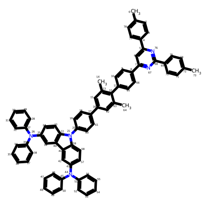 Cc1ccc(-c2cc(-c3ccc(-c4c(C)cc(-c5ccc(-n6c7ccc(N(c8ccccc8)c8ccccc8)cc7c7cc(N(c8ccccc8)c8ccccc8)ccc76)cc5)cc4C)cc3)nc(-c3ccc(C)cc3)n2)cc1